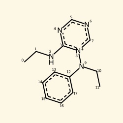 CCNc1ncnc[n+]1N(CC)c1ccccc1